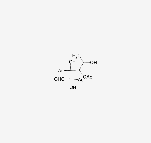 CC(=O)OC(C(C)O)C(O)(C(C)=O)C(O)(C=O)C(C)=O